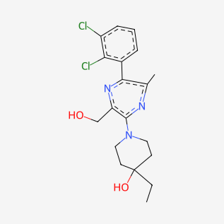 CCC1(O)CCN(c2nc(C)c(-c3cccc(Cl)c3Cl)nc2CO)CC1